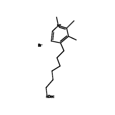 CCCCCCCCCCCCCCCCc1cc[n+](C)c(C)c1C.[Br-]